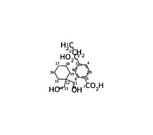 C=C.O=C(O)c1ccc(C(=O)O)cc1.OCC1(CO)CCCCC1